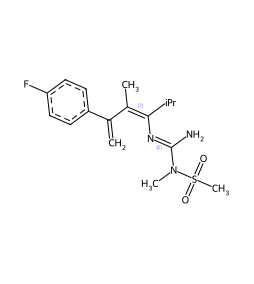 C=C(/C(C)=C(\N=C(/N)N(C)S(C)(=O)=O)C(C)C)c1ccc(F)cc1